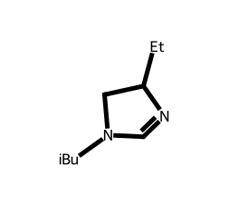 CCC1CN(C(C)CC)C=N1